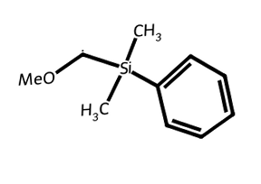 CO[CH][Si](C)(C)c1ccccc1